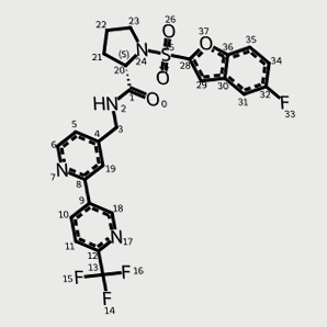 O=C(NCc1ccnc(-c2ccc(C(F)(F)F)nc2)c1)[C@@H]1CCCN1S(=O)(=O)c1cc2cc(F)ccc2o1